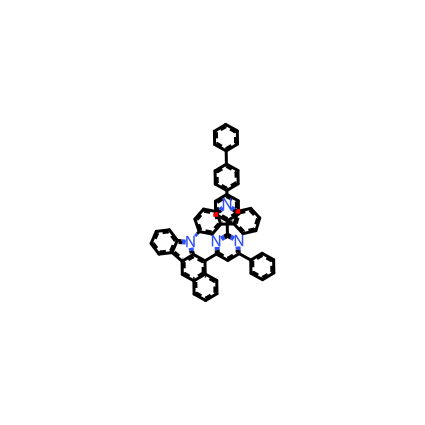 c1ccc(-c2ccc(-n3c4ccccc4c4cc(-n5c6ccccc6c6cc7ccccc7c(-c7cc(-c8ccccc8)nc(-c8ccccc8)n7)c65)ccc43)cc2)cc1